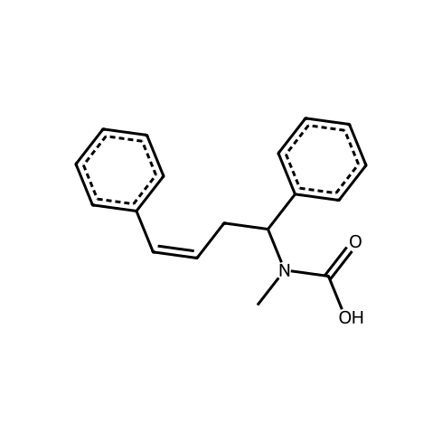 CN(C(=O)O)C(C/C=C\c1ccccc1)c1ccccc1